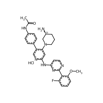 COc1cccc(F)c1-c1nccc(Nc2cc(N3CCC[C@H](N)C3)c(-c3ccc(NC(C)=O)cc3)cn2)n1.Cl